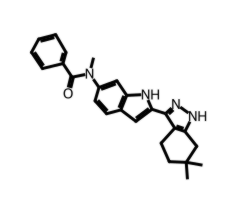 CN(C(=O)c1ccccc1)c1ccc2cc(-c3n[nH]c4c3CCC(C)(C)C4)[nH]c2c1